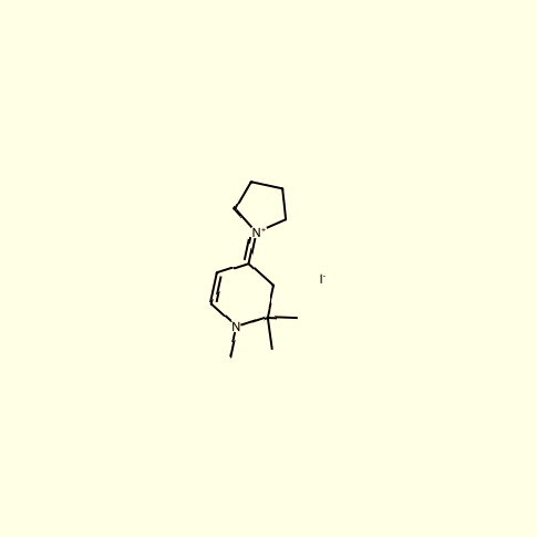 CN1C=CC(=[N+]2CCCC2)CC1(C)C.[I-]